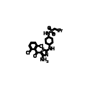 CC(C)CS(=O)(=O)NC1CCC(Nc2nc(N)c(C(=O)c3c(Cl)cccc3Cl)s2)CC1